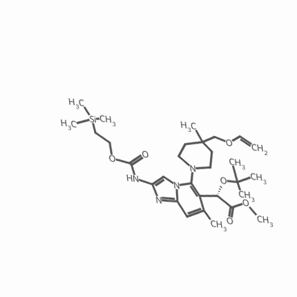 C=COCC1(C)CCN(c2c([C@H](OC(C)(C)C)C(=O)OC)c(C)cc3nc(NC(=O)OCC[Si](C)(C)C)cn23)CC1